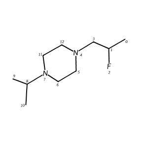 CC(F)CN1CCN(C(C)C)CC1